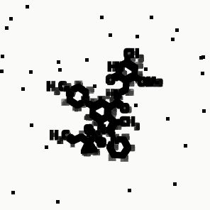 C=CCC1(S(=O)(=O)n2c(N3CCCCC3)c(C)c3c(C(=O)NCc4c(OC)cc(C)[nH]c4=O)cc(N4CCN(C)CC4)cc32)CC1